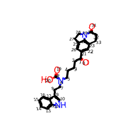 O=C(CCCCN(CCc1c[nH]c2ccccc12)C(=O)O)c1cc2c3c(c1)CCN3C(=O)CC2